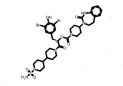 NS(=O)(=O)N1CCC(C2CCN(C(=O)[C@@H](Cc3cc(Br)c(O)c(Br)c3)OC(=O)N3CCC(N4CCc5ccccc5NC4=O)CC3)CC2)CC1